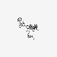 C=C(/C=C\C=C/N)c1cc(-c2cc(C)n(C(C)c3ccccn3)c(=O)c2)cc2nc(NC(=O)NCC)[nH]c12